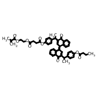 C=C(C)C(=O)OCCOC(=O)CCC(=O)Oc1ccc(C(C)C2=C/C(=C3/C=C(C(C)c4ccc(OC(=O)CCC)cc4)C(=O)c4ccccc43)c3ccccc3C2=O)cc1